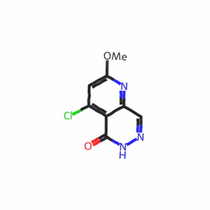 COc1cc(Cl)c2c(=O)[nH]ncc2n1